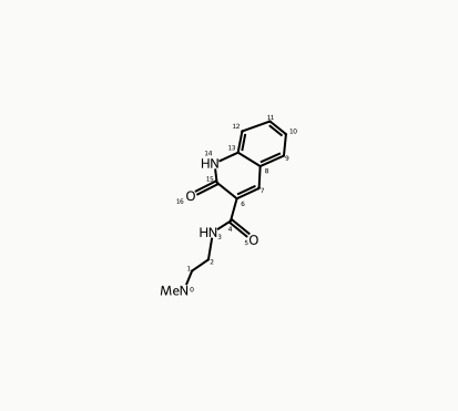 CNCCNC(=O)c1cc2ccccc2[nH]c1=O